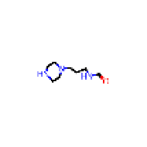 O=CNCCCN1CCNCC1